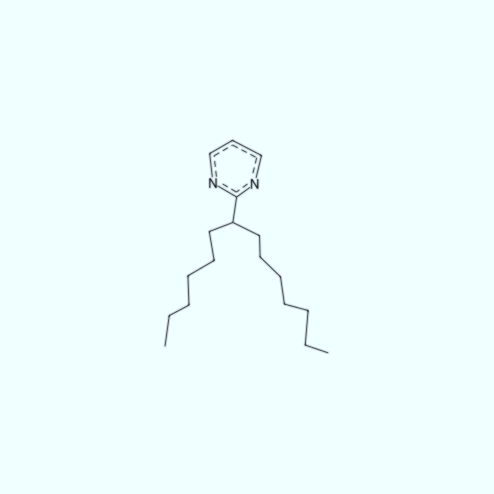 CCCCCCCC(CCCCCC)c1ncccn1